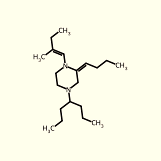 CCC/C=C1\CN(C(CCC)CCC)CCN1/C=C(\C)CC